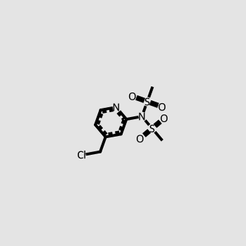 CS(=O)(=O)N(c1cc(CCl)ccn1)S(C)(=O)=O